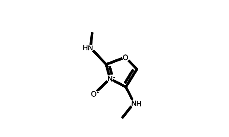 CNc1coc(NC)[n+]1[O-]